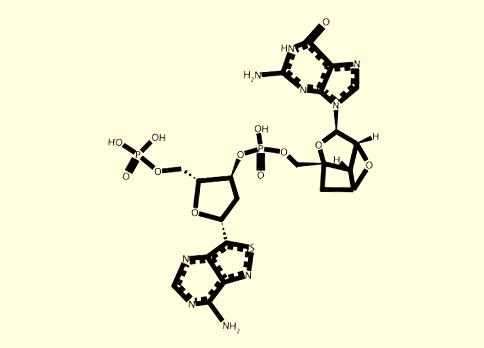 Nc1nc2c(ncn2[C@@H]2O[C@@]3(COP(=O)(O)O[C@H]4C[C@H](c5snc6c(N)ncnc56)O[C@@H]4COP(=O)(O)O)CC4O[C@@H]2[C@H]43)c(=O)[nH]1